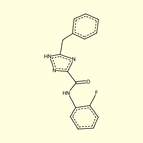 O=C(Nc1ccccc1F)c1n[nH]c(Cc2ccccc2)n1